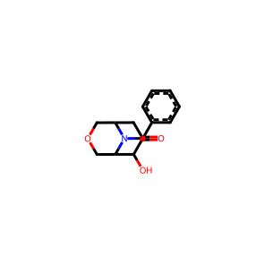 O=C1CC2COCC(C1O)N2Cc1ccccc1